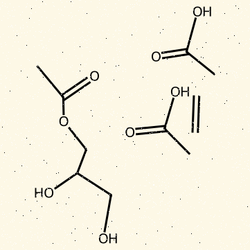 C=C.CC(=O)O.CC(=O)O.CC(=O)OCC(O)CO